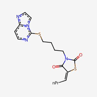 CCC/C=C1/SC(=O)N(CCCCSc2nccc3nccn23)C1=O